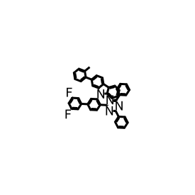 Cc1ccccc1-c1ccc2c3ccccc3n(-c3cc(-c4cc(F)cc(F)c4)ccc3-c3nc(-c4ccccc4)nc(-c4ccccc4)n3)c2c1